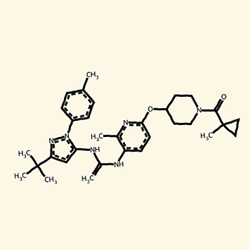 C=C(Nc1ccc(OC2CCN(C(=O)C3(C)CC3)CC2)nc1C)Nc1cc(C(C)(C)C)nn1-c1ccc(C)cc1